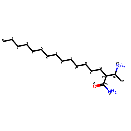 CCCCCCCCCCCCCCC(C(N)=O)C(C)N